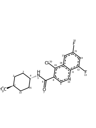 C[C@H]1CC[C@H](NC(=O)c2cnc3c(F)cc(F)cc3c2Cl)CC1